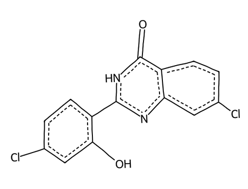 O=c1[nH]c(-c2ccc(Cl)cc2O)nc2cc(Cl)ccc12